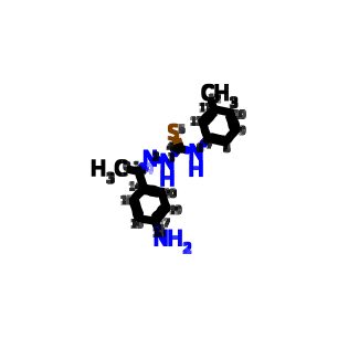 C/C(=N/NC(=S)Nc1cccc(C)c1)c1ccc(N)cc1